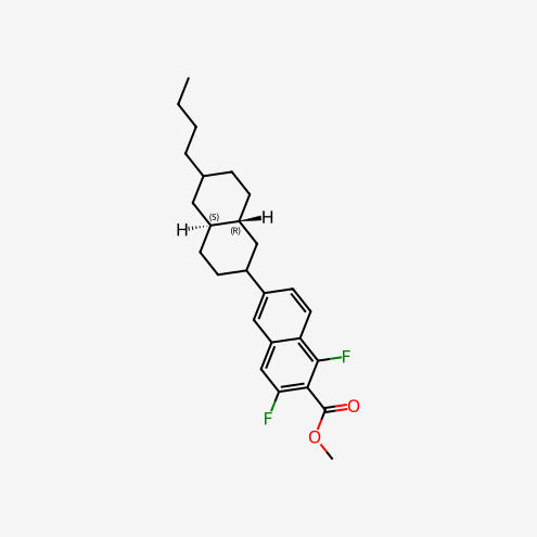 CCCCC1CC[C@@H]2CC(c3ccc4c(F)c(C(=O)OC)c(F)cc4c3)CC[C@H]2C1